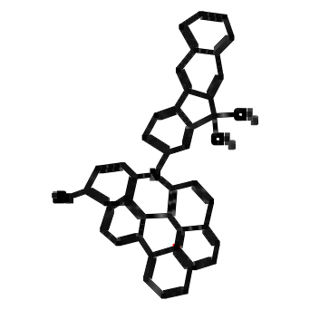 CC(C)(C)c1ccc(N(c2ccc3c(c2)C(C)(C)c2cc4ccccc4cc2-3)c2ccc3ccccc3c2-c2ccccc2-c2ccccc2)cc1